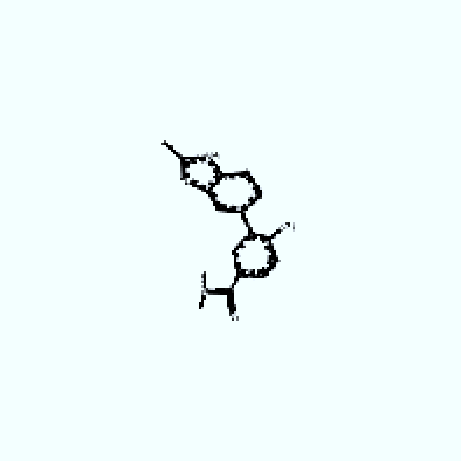 Cc1nc2cc(-c3cc(C(=O)N(C)C)ccc3O)ccc2[nH]1